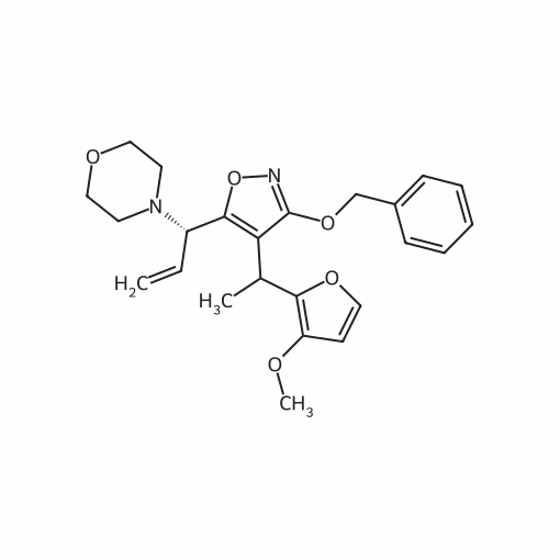 C=C[C@@H](c1onc(OCc2ccccc2)c1C(C)c1occc1OC)N1CCOCC1